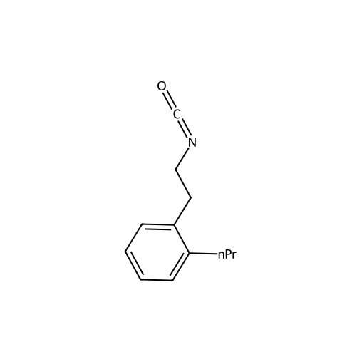 CCCc1ccccc1CCN=C=O